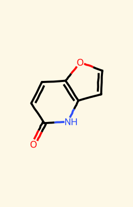 O=c1ccc2occc2[nH]1